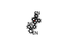 N#CC1=CC=Cc2c3c(n(-c4cccc(-c5cc(-c6ccccc6-n6c7ccccc7c7cc(C#N)ccc76)ccc5C#N)c4)c2C1)C=CCC3